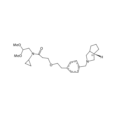 COC(CN(C(=O)CCOCCc1ccc(CN2CC3CCC[C@@H]3C2)cc1)C1CC1)OC